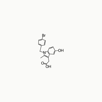 Cc1c(CC(=O)O)c2cc(O)ccc2n1Cc1ccc(Br)cc1